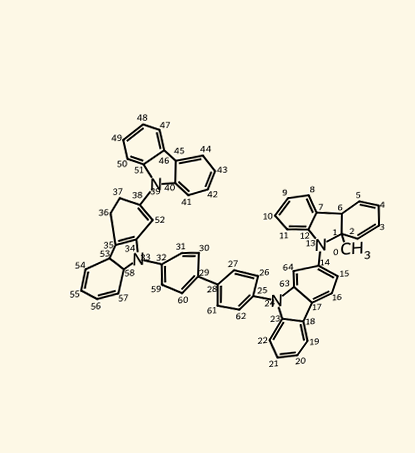 CC12C=CC=CC1c1ccccc1N2c1ccc2c3ccccc3n(-c3ccc(-c4ccc(N5C6=C(CCC(n7c8ccccc8c8ccccc87)=C6)C6C=CC=CC65)cc4)cc3)c2c1